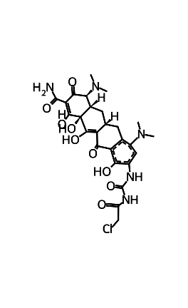 CN(C)c1cc(NC(=O)NC(=O)CCl)c(O)c2c1C[C@H]1C[C@H]3[C@H](N(C)C)C(=O)C(C(N)=O)=C(O)[C@@]3(O)C(O)=C1C2=O